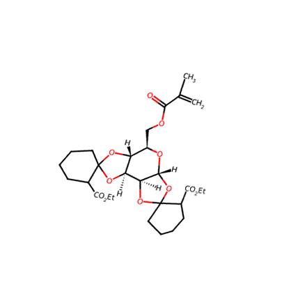 C=C(C)C(=O)OC[C@H]1O[C@@H]2OC3(CCCCC3C(=O)OCC)O[C@H]2[C@H]2OC3(CCCCC3C(=O)OCC)O[C@@H]21